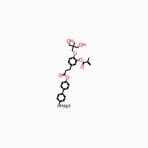 C=C(C)C(=O)Oc1cc(CCC(=O)Oc2ccc(-c3ccc(CCCCCCC)cc3)cc2)ccc1OCC(C)(CO)CO